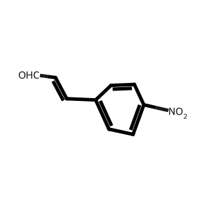 O=C/C=C/c1ccc([N+](=O)[O-])cc1